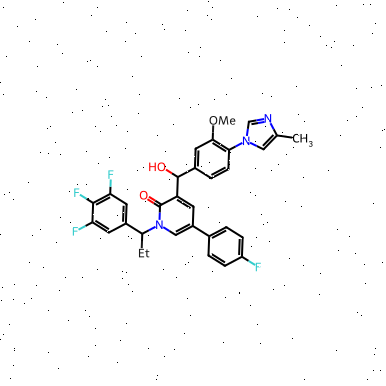 CCC(c1cc(F)c(F)c(F)c1)n1cc(-c2ccc(F)cc2)cc(C(O)c2ccc(-n3cnc(C)c3)c(OC)c2)c1=O